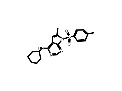 Cc1ccc(S(=O)(=O)n2c(C)cc3c(NC4CCCCC4)ncnc32)cc1